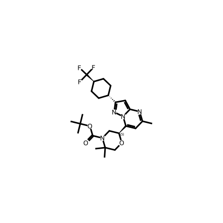 Cc1cc([C@@H]2CN(C(=O)OC(C)(C)C)C(C)(C)CO2)n2nc([C@H]3CC[C@H](C(F)(F)F)CC3)cc2n1